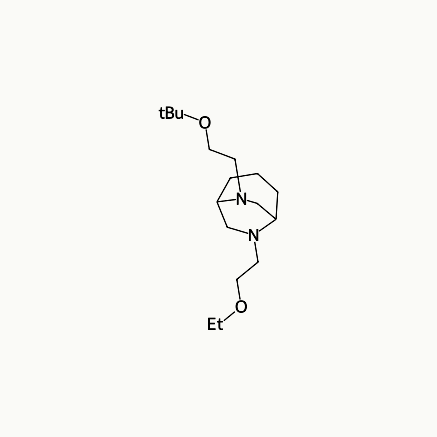 CCOCCN1CC2CCCC1CN2CCOC(C)(C)C